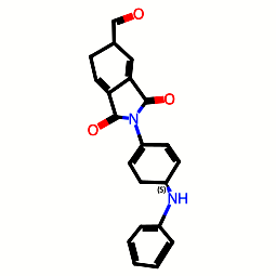 O=CC1C=C2C(=O)N(C3=CC[C@H](Nc4ccccc4)C=C3)C(=O)C2=CC1